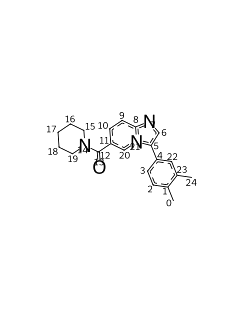 Cc1ccc(-c2cnc3ccc(C(=O)N4CCCCC4)cn23)cc1C